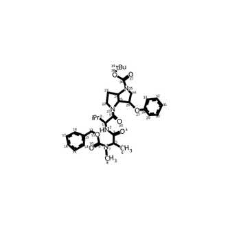 CC(C)C(NC(=O)C(C)N(C)C(=O)OCc1ccccc1)C(=O)N1CCC2C1C(Oc1ccccc1)CN2C(=O)OC(C)(C)C